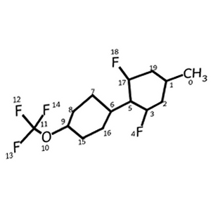 CC1CC(F)C(C2CCC(OC(F)(F)F)CC2)C(F)C1